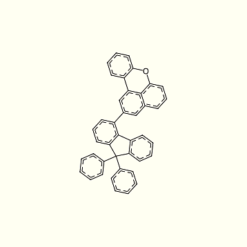 c1ccc(C2(c3ccccc3)c3ccccc3-c3c(-c4cc5c6c(cccc6c4)Oc4ccccc4-5)cccc32)cc1